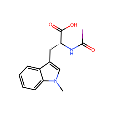 Cn1cc(C[C@@H](NC(=O)I)C(=O)O)c2ccccc21